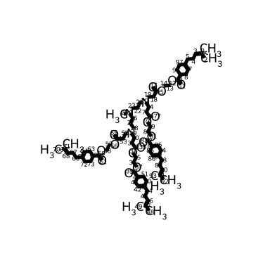 CC(C)=CCCC1=CCC(C(=O)OCCOC(=O)CCN(CCCN(C)CCCN(CCC(=O)OCCOC(=O)C2CC=C(CCC=C(C)C)CC2)CCC(=O)OCCOC(=O)C2CC=C(CCC=C(C)C)CC2)CCC(=O)OCCOC(=O)C2CC=C(CCC=C(C)C)CC2)CC1